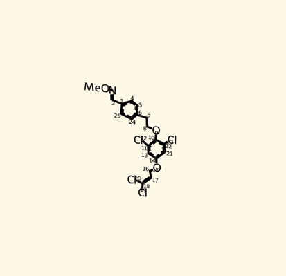 CON=Cc1ccc(CCOc2c(Cl)cc(OCC=C(Cl)Cl)cc2Cl)cc1